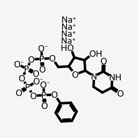 O=C1CCN(C2OC(COP(=O)([O-])OP(=O)([O-])OP(=O)([O-])OP(=O)([O-])Oc3ccccc3)C(O)C2O)C(=O)N1.[Na+].[Na+].[Na+].[Na+]